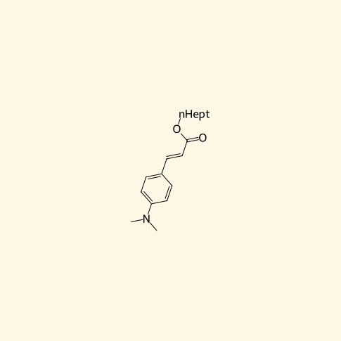 CCCCCCCOC(=O)C=Cc1ccc(N(C)C)cc1